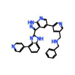 c1ccc(CNCc2cncc(-c3cnc4[nH]nc(-c5nc6c(-c7ccncc7)cccc6[nH]5)c4c3)c2)cc1